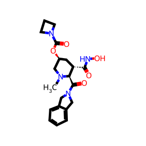 CN1C[C@@H](OC(=O)N2CCC2)C[C@H](C(=O)NO)[C@H]1C(=O)N1Cc2ccccc2C1